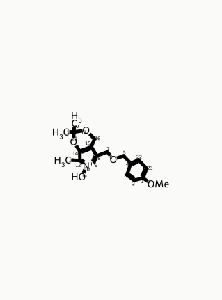 COc1ccc(COCc2c[n+](O)c(C)c3c2COC(C)(C)O3)cc1